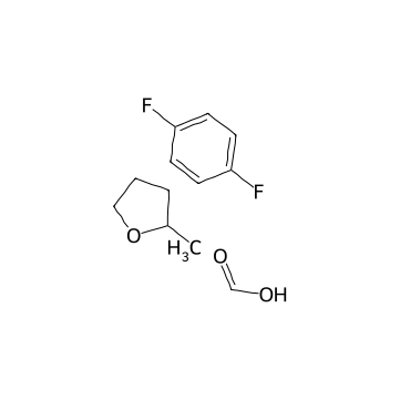 CC1CCCO1.Fc1ccc(F)cc1.O=CO